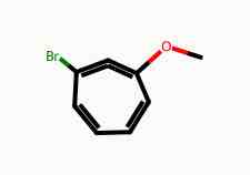 COC1=C=C(Br)C=CC=C1